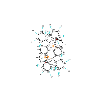 Fc1c(F)c(F)c(C(P)(c2ccc3ccccc3c2-c2c(C(P)(c3c(F)c(F)c(F)c(F)c3F)c3c(F)c(F)c(F)c(F)c3F)ccc3ccccc23)c2c(F)c(F)c(F)c(F)c2F)c(F)c1F